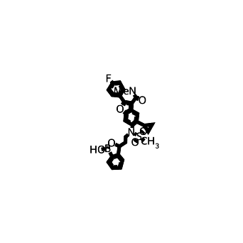 CNC(=O)c1c(-c2ccc(F)cc2)oc2cc(N(CCC3OB(O)c4ccccc43)S(C)(=O)=O)c(C3CC3)cc12